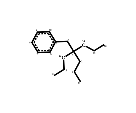 CCCC(Cc1ccccc1)(OCC)OCC